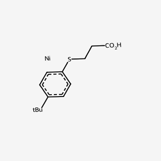 CC(C)(C)c1ccc(SCCC(=O)O)cc1.[Ni]